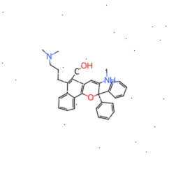 CNC1=Cc2c(CO)c(CCCN(C)C)c3ccccc3c2OC1(c1ccccc1)c1ccccc1